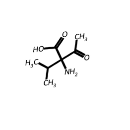 CC(=O)C(N)(C(=O)O)C(C)C